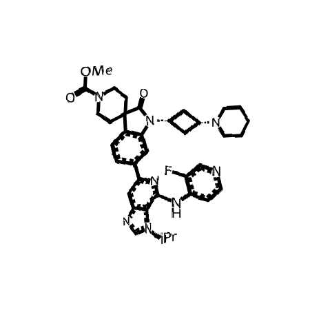 COC(=O)N1CCC2(CC1)C(=O)N([C@H]1C[C@@H](N3CCCCC3)C1)c1cc(-c3cc4ncn(C(C)C)c4c(Nc4ccncc4F)n3)ccc12